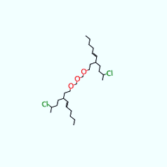 CCCCC=CC(CCOCOCOCCC(C=CCCCC)CCC(C)Cl)CCC(C)Cl